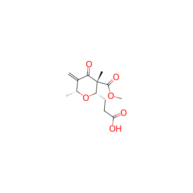 C=C1C(=O)[C@](C)(C(=O)OC)[C@H](CCC(=O)O)O[C@@H]1C